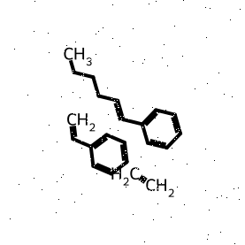 C=C.C=Cc1ccccc1.CCCCC=Cc1ccccc1